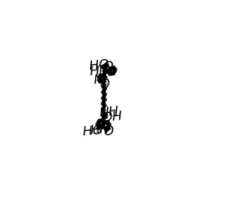 O=C(O)NC(c1ccccc1)c1cncc(OCCCCCCCCCNCC(O)c2ccc(O)c3[nH]c(=O)ccc23)c1